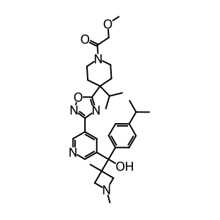 COCC(=O)N1CCC(c2nc(-c3cncc(C(O)(c4ccc(C(C)C)cc4)C4(C)CN(C)C4)c3)no2)(C(C)C)CC1